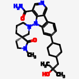 CN1CC[C@@]2(CCCN(n3c4cc(C5CCC(CC(C)(C)O)CC5)ccc4c4cncc(C(N)=O)c43)C2)C1=O